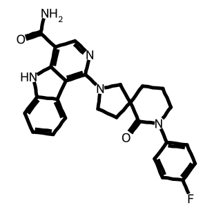 NC(=O)c1cnc(N2CCC3(CCCN(c4ccc(F)cc4)C3=O)C2)c2c1[nH]c1ccccc12